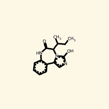 CCC(C)C1C(=O)Nc2ccccc2-c2cnc(O)n21